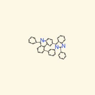 c1ccc(-c2nc(-c3ccc4nc(-c5ccccc5)c5cccc(-c6ccccc6)c5c4c3)c3ccccc3n2)cc1